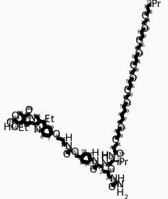 CCc1c2c(nc3ccc(OCCCNC(=O)OCc4ccc(NC(=O)[C@H](CCCNC(N)=O)NC(=O)[C@@H](NC(=O)CCOCCOCCCCCOCCOCCOCCOCCOCCOCCOCCOCCC(C)C)C(C)C)cc4)cc13)-c1cc3c(c(=O)n1C2)COC(=O)[C@]3(O)CC